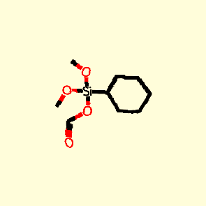 CO[Si](OC)(OC=O)C1CCCCC1